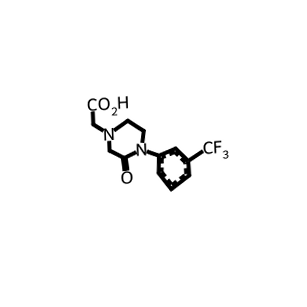 O=C(O)CN1CCN(c2cccc(C(F)(F)F)c2)C(=O)C1